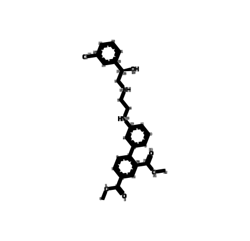 COC(=O)c1ccc(-c2cccc(NCCNC[C@H](O)c3cccc(Cl)c3)c2)c(C(=O)OC)c1